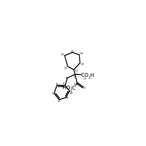 C=C(C(=O)O)C(Cc1ccccc1)(C(=O)O)C1CCCCC1